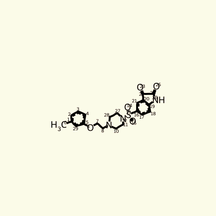 Cc1cccc(OCCN2CCN(S(=O)(=O)c3ccc4c(c3)C(=O)C(=O)N4)CC2)c1